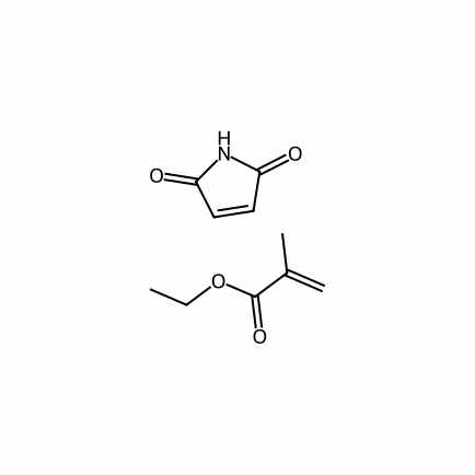 C=C(C)C(=O)OCC.O=C1C=CC(=O)N1